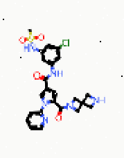 CS(=O)(=O)Nc1cc(Cl)cc(NC(=O)c2cc(C(=O)N3CC4(CNC4)C3)n(-c3ccccn3)c2)c1